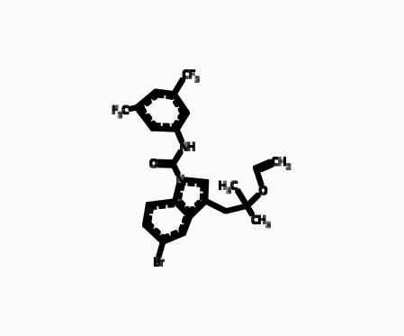 C=COC(C)(C)Cc1cn(C(=O)Nc2cc(C(F)(F)F)cc(C(F)(F)F)c2)c2ccc(Br)cc12